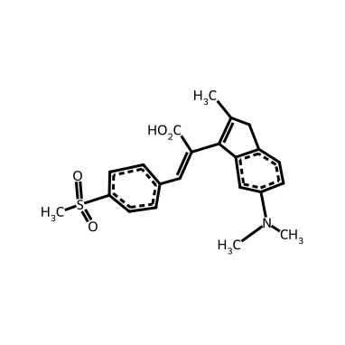 CC1=C(C(=Cc2ccc(S(C)(=O)=O)cc2)C(=O)O)c2cc(N(C)C)ccc2C1